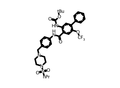 CCCS(=O)(=O)N1CCN(Cc2ccc(NC(=O)c3cc(OC(F)(F)F)c(-c4ccccc4)cc3NC(=O)OC(C)(C)C)cc2)CC1